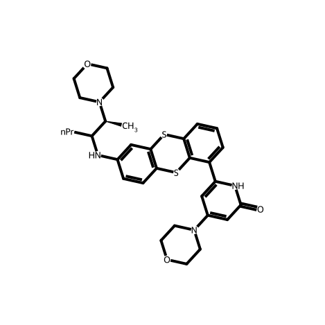 CCCC(Nc1ccc2c(c1)Sc1cccc(-c3cc(N4CCOCC4)cc(=O)[nH]3)c1S2)[C@H](C)N1CCOCC1